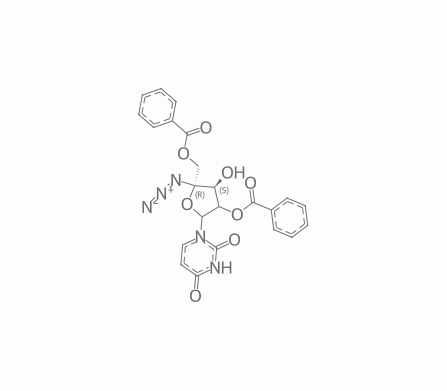 [N-]=[N+]=N[C@]1(COC(=O)c2ccccc2)OC(n2ccc(=O)[nH]c2=O)C(OC(=O)c2ccccc2)[C@@H]1O